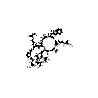 C[C@@H]1NC(=O)[C@@H]2CSC3(SC[C@@H](C(N)=O)NC(=O)[C@H](CCCNC(=N)N)NC(=O)[C@H](Cc4cc5ccccc5[nH]4)NC1=O)SC[C@H](NC(=O)CN)C(=O)N[C@@H](CS3)C(=O)N[C@@H](CO)C(=O)N[C@@H](CC(=O)O)C(=O)N1CCCC1C(=O)N[C@@H](CCCNC(=N)N)C(=O)N2